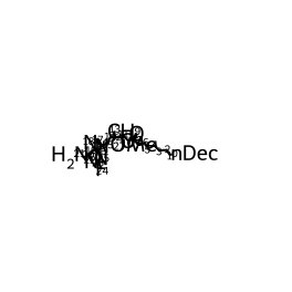 CCCCCCCCCCCCCCCCCC(=O)OC[C@](C)(CCn1cnc2c(N)nc(F)nc21)OC